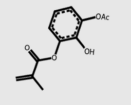 C=C(C)C(=O)Oc1cccc(OC(C)=O)c1O